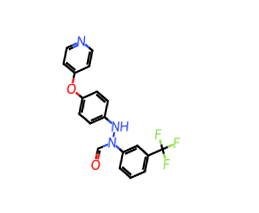 O=CN(Nc1ccc(Oc2ccncc2)cc1)c1cccc(C(F)(F)F)c1